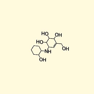 OCC1=CC(NC2CCCCC2O)C(O)C(O)C1O